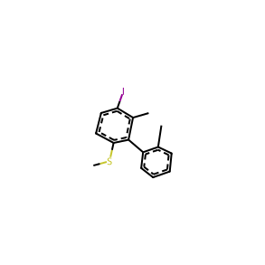 CSc1ccc(I)c(C)c1-c1ccccc1C